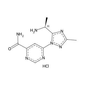 Cc1nc([C@H](C)N)n(-c2cc(C(N)=O)ncn2)n1.Cl